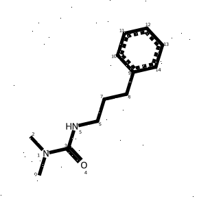 CN(C)C(=O)NCCCc1ccccc1